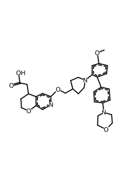 COc1ccc(-c2ccc(N3CCOCC3)cc2)c(N2CCC(COc3cc4c(cn3)OCCC4CC(=O)O)CC2)c1